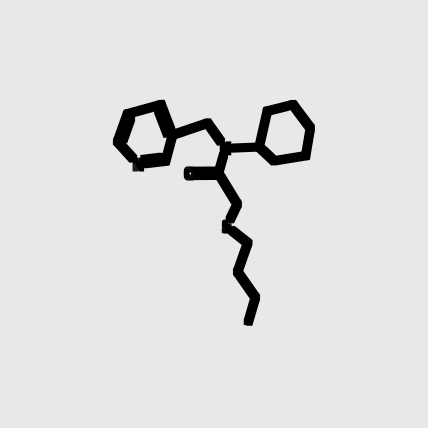 CCCCSCC(=O)N(Cc1cccnc1)C1CCCCC1